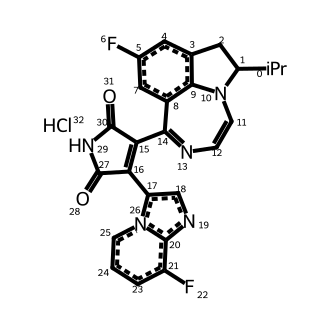 CC(C)C1Cc2cc(F)cc3c2N1C=CN=C3C1=C(c2cnc3c(F)cccn23)C(=O)NC1=O.Cl